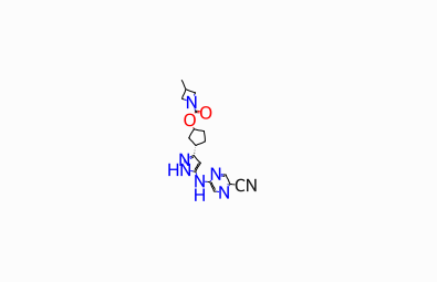 CC1CN(C(=O)O[C@@H]2CC[C@H](c3cc(Nc4cnc(C#N)cn4)[nH]n3)C2)C1